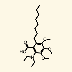 CCCCCCCCc1c(OC)c(OC)c(OC)c(N(CC)CC)c1C(=O)O